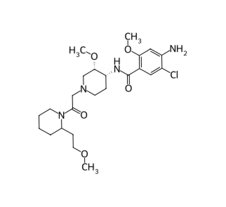 COCCC1CCCCN1C(=O)CN1CC[C@@H](NC(=O)c2cc(Cl)c(N)cc2OC)[C@@H](OC)C1